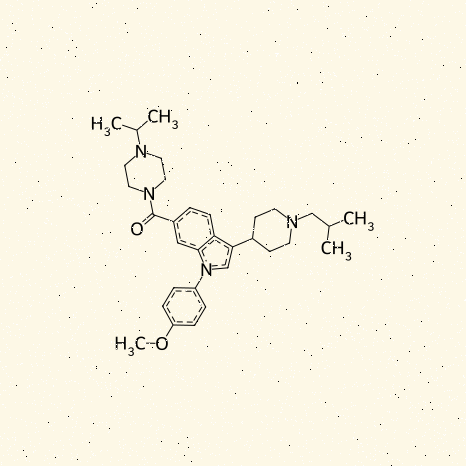 COc1ccc(-n2cc(C3CCN(CC(C)C)CC3)c3ccc(C(=O)N4CCN(C(C)C)CC4)cc32)cc1